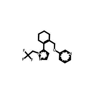 FC(F)(F)Cn1nccc1C1=C(COc2cccnc2)CCCC1